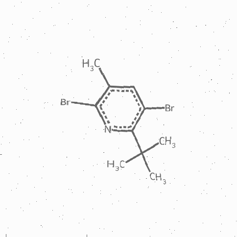 Cc1cc(Br)c(C(C)(C)C)nc1Br